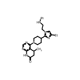 CCc1cn(CCNC(C)C)c(C2CCN(c3ncnc4c3C(C)CC(=O)N4)CC2)n1